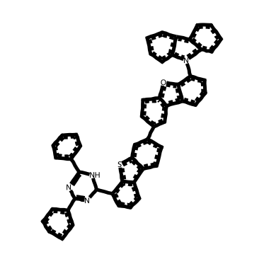 c1ccc(C2=NC(c3cccc4c3sc3cc(-c5ccc6oc7c(-n8c9ccccc9c9ccccc98)cccc7c6c5)ccc34)NC(c3ccccc3)=N2)cc1